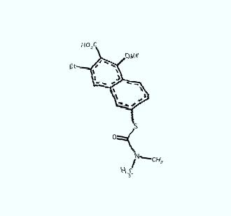 CCc1cc2cc(SC(=O)N(C)C)ccc2c(OC)c1C(=O)O